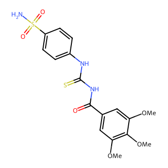 COc1cc(C(=O)NC(=S)Nc2ccc(S(N)(=O)=O)cc2)cc(OC)c1OC